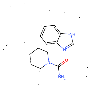 NC(=O)N1CCCCC1.c1ccc2[nH]cnc2c1